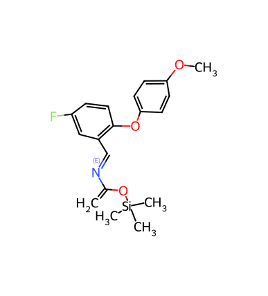 C=C(/N=C/c1cc(F)ccc1Oc1ccc(OC)cc1)O[Si](C)(C)C